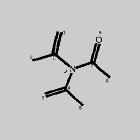 C=C(C)N(C(=C)C)C(C)=O